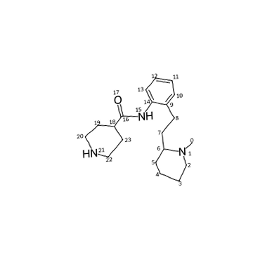 CN1CCCCC1CCc1ccccc1NC(=O)C1CCNCC1